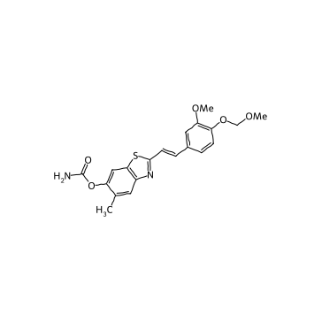 COCOc1ccc(C=Cc2nc3cc(C)c(OC(N)=O)cc3s2)cc1OC